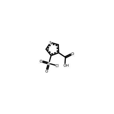 O=C(O)c1cscc1S(=O)(=O)Cl